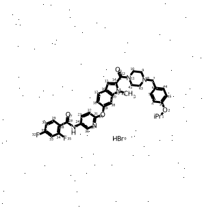 Br.CC(C)Oc1ccc(CN2CCN(C(=O)c3cc4ccc(Oc5ccc(NC(=O)c6ccc(F)cc6F)cn5)cc4n3C)CC2)cc1